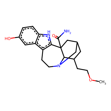 COCCC1CC2CN3CCc4c([nH]c5ccc(O)cc45)C(C(N)=O)(C2)C13